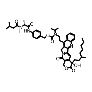 CCCCCC(C)CC[C@]1(O)C(=O)OCc2c1cc1n(c2=O)Cc2c-1nc1ccccc1c2CCN(C(=O)OCc1ccc(NC(=O)[C@H](C)NC(=O)CC(C)C)cc1)C(C)C